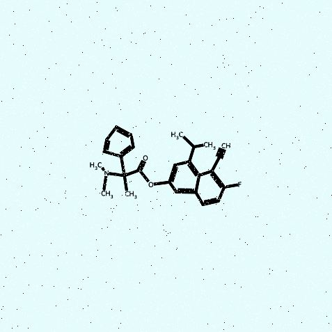 C#Cc1c(F)ccc2cc(OC(=O)C(C)(c3ccccc3)N(C)C)cc(C(C)C)c12